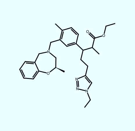 CCOC(=O)C(C)C(CCc1cn(CC)nn1)c1ccc(C)c(CN2Cc3ccccc3O[C@H](C)C2)c1